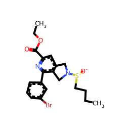 CCCC[S+]([O-])N1Cc2cc(C(=O)OCC)nc(-c3cccc(Br)c3)c2C1